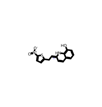 O=[N+]([O-])c1ccc(C/C=C2\C=Cc3cccc(O)c3N2)s1